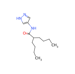 CCCCC(CCCC)C(=O)Nc1cn[nH]c1